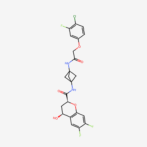 O=C(COc1ccc(Cl)c(F)c1)NC12CC(NC(=O)[C@@H]3C[C@H](O)c4cc(F)c(F)cc4O3)(C1)C2